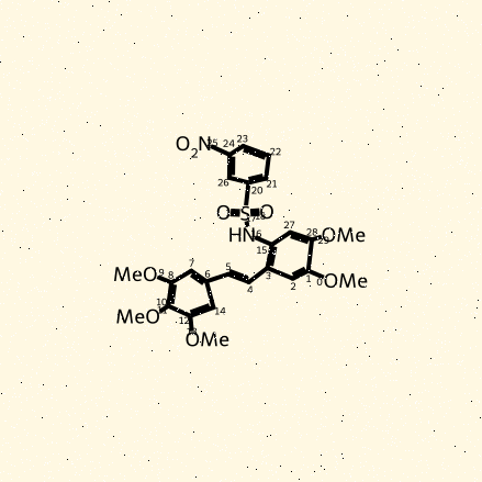 COc1cc(C=Cc2cc(OC)c(OC)c(OC)c2)c(NS(=O)(=O)c2cccc([N+](=O)[O-])c2)cc1OC